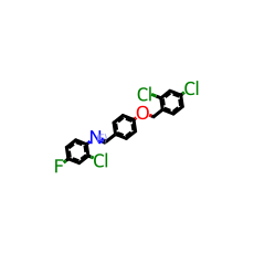 Fc1ccc(/N=C/c2ccc(OCc3ccc(Cl)cc3Cl)cc2)c(Cl)c1